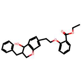 CCOC(=O)c1ccccc1OCCc1ccc2c(c1)OCC(Cc1ccccc1)C2O